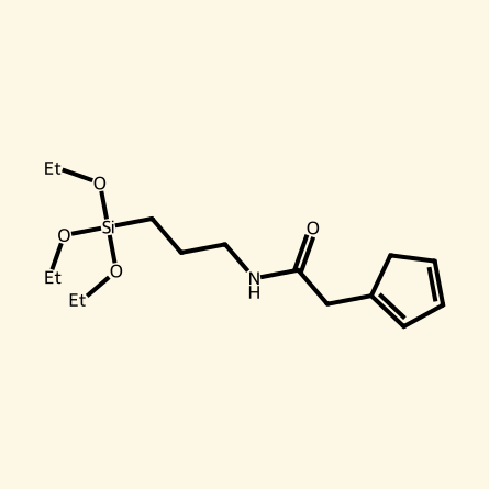 CCO[Si](CCCNC(=O)CC1=CC=CC1)(OCC)OCC